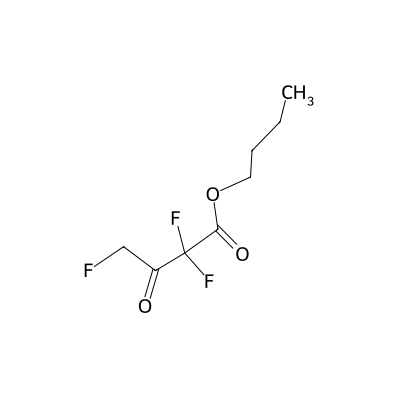 CCCCOC(=O)C(F)(F)C(=O)CF